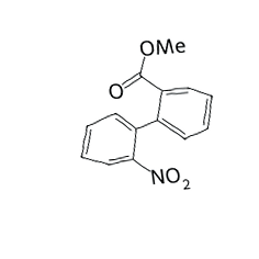 COC(=O)c1ccccc1-c1ccccc1[N+](=O)[O-]